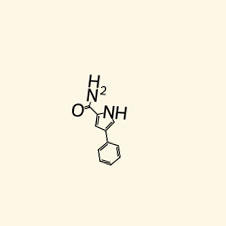 NC(=O)c1cc(-c2ccccc2)c[nH]1